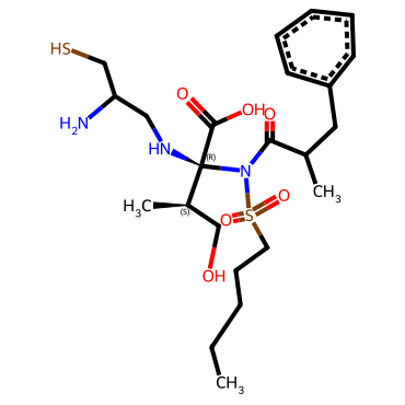 CCCCCS(=O)(=O)N(C(=O)C(C)Cc1ccccc1)[C@@](NCC(N)CS)(C(=O)O)[C@H](C)CO